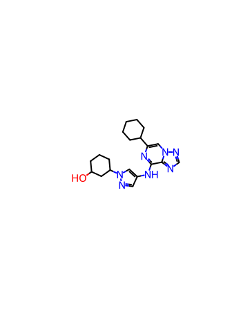 OC1CCCC(n2cc(Nc3nc(C4CCCCC4)cn4ncnc34)cn2)C1